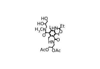 CCC(=O)Nc1c(I)c(C(=O)NCC(COC(C)=O)OC(C)=O)c(I)c(C(=O)N(C)CC(O)CO)c1I